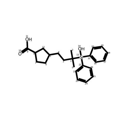 CC(C)(CCC1CCC(C(=O)O)C1)[Si](O)(c1ccccc1)c1ccccc1